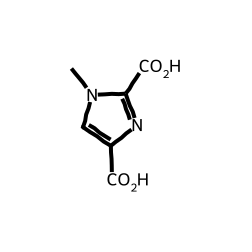 Cn1cc(C(=O)O)nc1C(=O)O